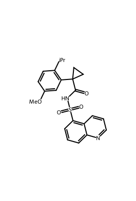 COc1ccc(C(C)C)c(C2(C(=O)NS(=O)(=O)c3cccc4ncccc34)CC2)c1